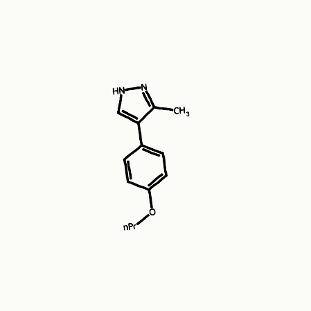 CCCOc1ccc(-c2c[nH]nc2C)cc1